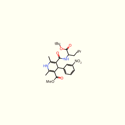 COC(=O)C1=C(C)NC(C)=C(C(=O)NC(CC(C)C)C(=O)OC(C)(C)C)C1c1cccc([N+](=O)[O-])c1